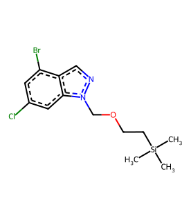 C[Si](C)(C)CCOCn1ncc2c(Br)cc(Cl)cc21